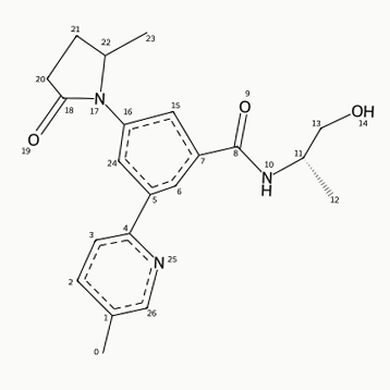 Cc1ccc(-c2cc(C(=O)N[C@@H](C)CO)cc(N3C(=O)CCC3C)c2)nc1